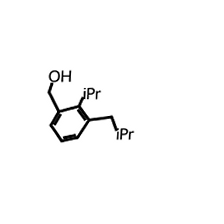 CC(C)Cc1cccc(CO)c1C(C)C